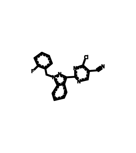 N#Cc1cnc(-c2nn(Cc3ccccc3F)c3ccccc23)nc1Cl